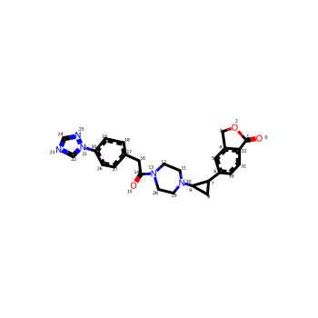 O=C1OCc2cc(C3CC3N3CCN(C(=O)Cc4ccc(-n5cncn5)cc4)CC3)ccc21